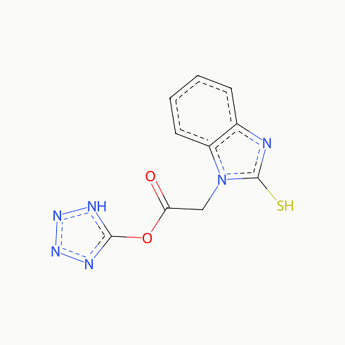 O=C(Cn1c(S)nc2ccccc21)Oc1nnn[nH]1